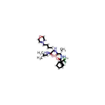 CC[C@H](NC(=O)C1(C(F)(F)F)CC2CCC1C2)C(=O)N[C@@H](CCCCN1CCOCC1)C(=O)NCC(C)C